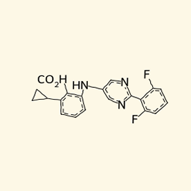 O=C(O)c1c(Nc2cnc(-c3c(F)cccc3F)nc2)cccc1C1CC1